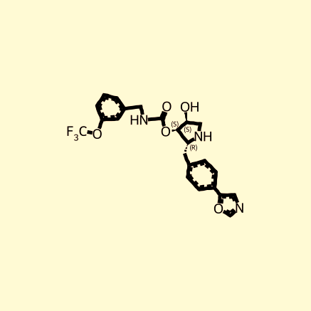 O=C(NCc1cccc(OC(F)(F)F)c1)O[C@@H]1[C@@H](O)CN[C@@H]1Cc1ccc(-c2cnco2)cc1